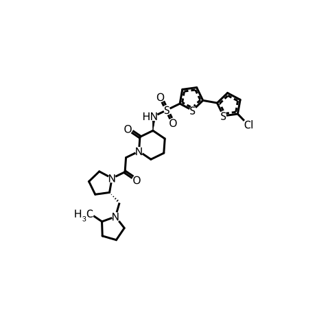 CC1CCCN1C[C@@H]1CCCN1C(=O)CN1CCC[C@H](NS(=O)(=O)c2ccc(-c3ccc(Cl)s3)s2)C1=O